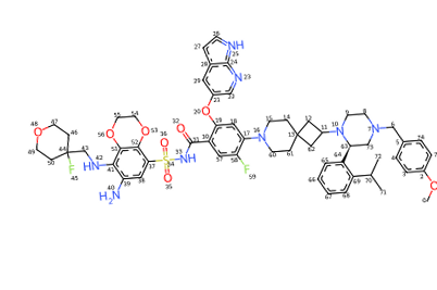 COc1ccc(CN2CCN(C3CC4(CCN(c5cc(Oc6cnc7[nH]ccc7c6)c(C(=O)NS(=O)(=O)c6cc(N)c(NCC7(F)CCOCC7)c7c6OCCO7)cc5F)CC4)C3)[C@H](c3ccccc3C(C)C)C2)cc1